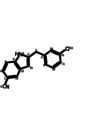 N#Cc1ccc2[nH]c(Cc3cccc(Cl)c3)cc2c1